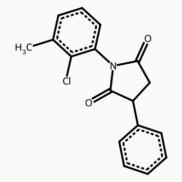 Cc1cccc(N2C(=O)CC(c3ccccc3)C2=O)c1Cl